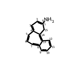 NC1=CC=C2C=CC=c3ccccc3=C2C1